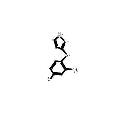 Cc1cc(Cl)ccc1Sc1cc[nH]n1